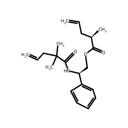 C=CC[C@@H](C)C(=O)OC[C@H](NC(=O)C(C)(C)CC=C)c1ccccc1